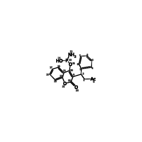 CC(=O)CC(c1ccccc1)c1c(OP(N)O)c2ccccc2oc1=O